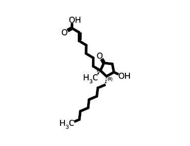 CCCCCCCC[C@H]1C(O)CC(=O)[C@]1(C)CCCCC=CC(=O)O